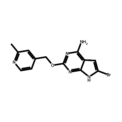 Cc1cc(COc2nc(N)c3cc(Br)[nH]c3n2)ccn1